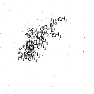 C=CCNC(=O)C(=O)C(CCC)NC(=O)[C@@H]1CC2(CN1C(=O)[C@@H](NC(=O)NC1(CS(=O)(=O)C(C)(C)C)CCCCC1)C(C)(C)C)SCCS2